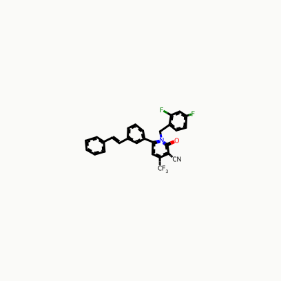 N#Cc1c(C(F)(F)F)cc(-c2cccc(C=Cc3ccccc3)c2)n(Cc2ccc(F)cc2F)c1=O